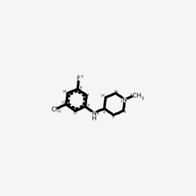 CN1CCC(Nc2cc(F)cc(Cl)c2)CC1